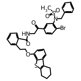 CS(=O)(=O)N(Cc1ccccc1)c1cc(C(=O)CNC(=O)c2ccccc2CCOc2cccc3c4c(sc23)CCCC4)ccc1Br